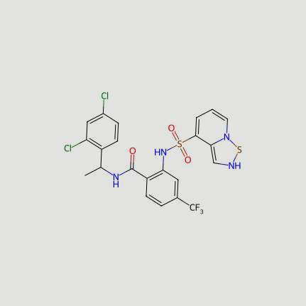 CC(NC(=O)c1ccc(C(F)(F)F)cc1NS(=O)(=O)C1=CC=CN2SNC=C12)c1ccc(Cl)cc1Cl